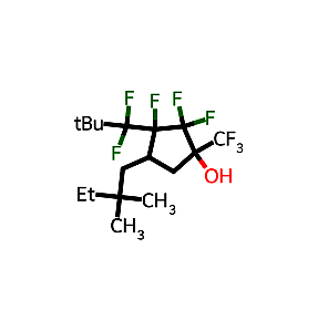 CCC(C)(C)CC1CC(O)(C(F)(F)F)C(F)(F)C1(F)C(F)(F)C(C)(C)C